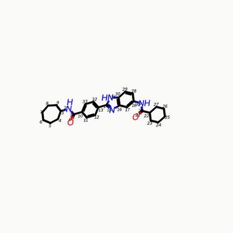 O=C(NC1CCCCCC1)c1ccc(-c2nc3cc(NC(=O)C4CCCCC4)ccc3[nH]2)cc1